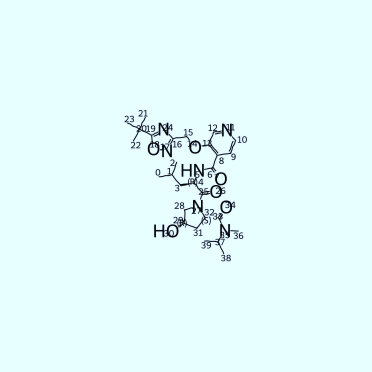 CC(C)C[C@@H](NC(=O)c1ccncc1OCc1noc(C(C)(C)C)n1)C(=O)N1C[C@H](O)C[C@H]1C(=O)N(C)C(C)C